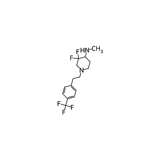 CNC1CCN(CCc2ccc(C(F)(F)F)cc2)CC1(F)F